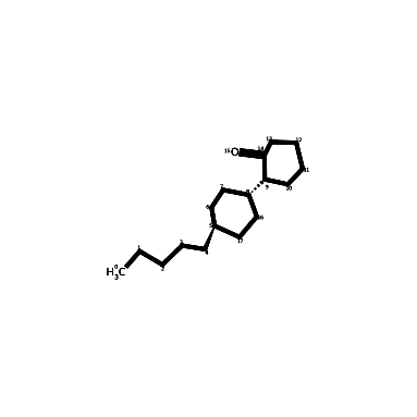 CCCCC[C@H]1CC[C@H](C2CCCCC2=O)CC1